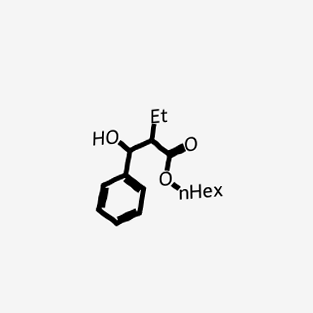 CCCCCCOC(=O)C(CC)C(O)c1ccccc1